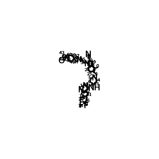 Cc1c(CN2CCC(Nc3ncnc4sc(CC(F)(F)F)cc34)CC2)ccc2c1cc(C#N)n2CCN1CC2(CCN([S+](C)[O-])CC2)C1